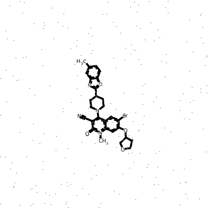 Cc1ccc2oc(C3CCN(c4c(C#N)c(=O)n(C)c5cc(OC6CCOC6)c(Br)cc45)CC3)nc2c1